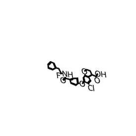 O=C(NC(F)Cc1ccccc1)c1ccc(Oc2cc3c(cc2Cl)C(C(=O)O)CCO3)cc1